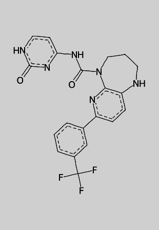 O=C(Nc1cc[nH]c(=O)n1)N1CCCNc2ccc(-c3cccc(C(F)(F)F)c3)nc21